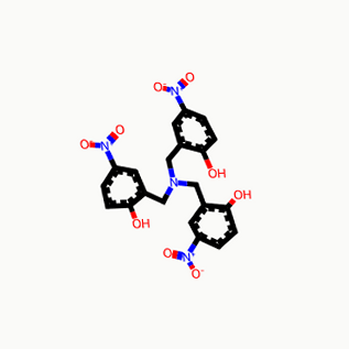 O=[N+]([O-])c1ccc(O)c(CN(Cc2cc([N+](=O)[O-])ccc2O)Cc2cc([N+](=O)[O-])ccc2O)c1